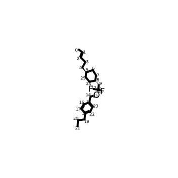 CC=CCC[C@H]1CC[C@H](CC(F)(F)OCc2ccc(CCC)cc2)CC1